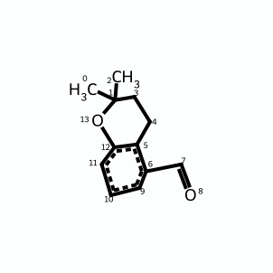 CC1(C)CCc2c(C=O)cccc2O1